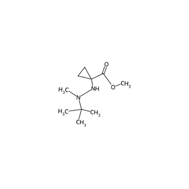 COC(=O)C1(NN(C)C(C)(C)C)CC1